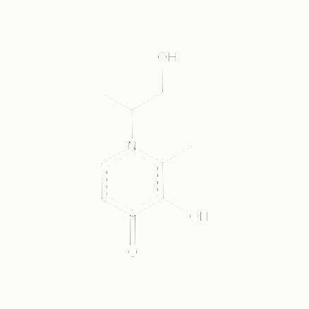 Cc1c(O)c(=O)ccn1C(C)CO